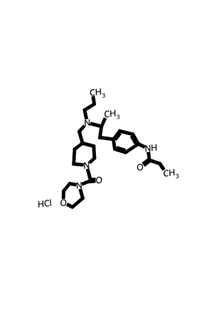 CCCN(CC1CCN(C(=O)N2CCOCC2)CC1)C(C)Cc1ccc(NC(=O)CC)cc1.Cl